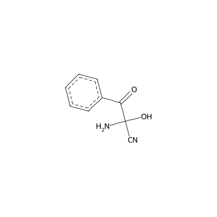 N#CC(N)(O)C(=O)c1ccccc1